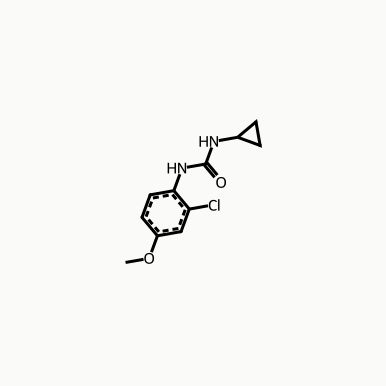 COc1ccc(NC(=O)NC2CC2)c(Cl)c1